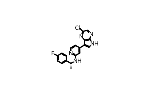 C[C@H](Nc1cc(-c2c[nH]c3ncc(Cl)nc23)ccn1)c1ccc(F)cc1